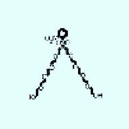 O=[N+]([O-])c1ccccc1S(=O)(=O)N(CCOCCOCCOCCOCCO)CCOCCOCCOCCOCCO